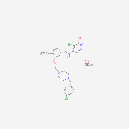 COc1ccc(CNc2cn[nH]c(=O)c2Br)cc1OCCN1CCN(Cc2ccc(Cl)cc2)CC1.O=S(=O)(O)O